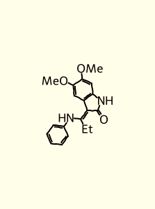 CCC(Nc1ccccc1)=C1C(=O)Nc2cc(OC)c(OC)cc21